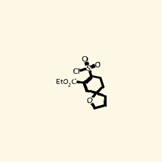 CCOC(=O)C1=C(S(=O)(=O)Cl)CCC2(CCCO2)C1